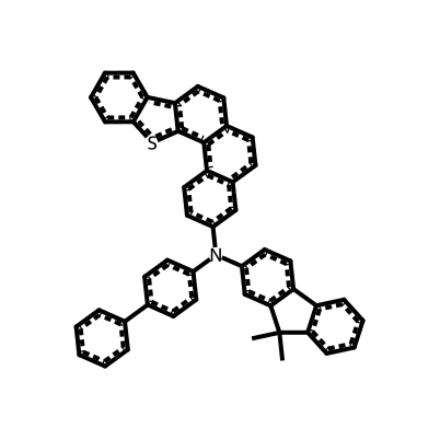 CC1(C)c2ccccc2-c2ccc(N(c3ccc(-c4ccccc4)cc3)c3ccc4c(ccc5ccc6c7ccccc7sc6c54)c3)cc21